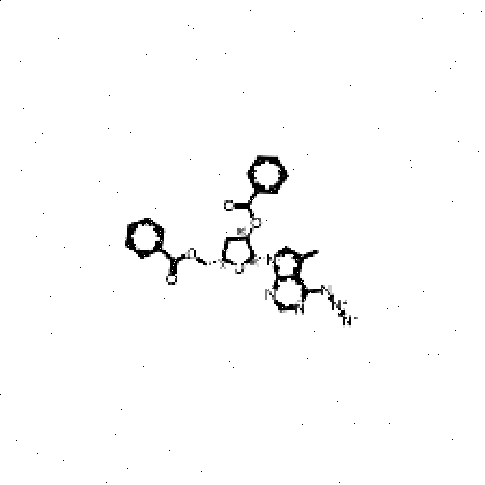 [N-]=[N+]=Nc1ncnc2c1c(I)cn2[C@@H]1O[C@H](COC(=O)c2ccccc2)C[C@H]1OC(=O)c1ccccc1